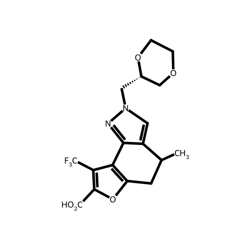 CC1Cc2oc(C(=O)O)c(C(F)(F)F)c2-c2nn(C[C@H]3COCCO3)cc21